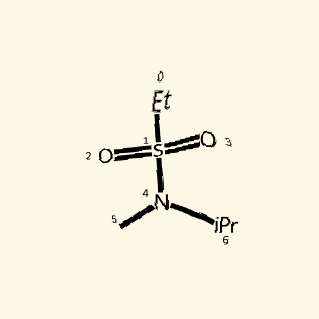 CCS(=O)(=O)N(C)C(C)C